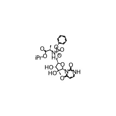 CC(C)OC(=O)[C@@H](C)NP(=O)(OC[C@H]1O[C@@H](n2c(=O)cc[nH]c2=O)[C@](C)(O)[C@@H]1O)Oc1ccccc1